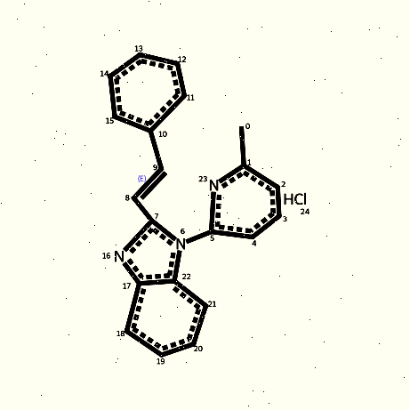 Cc1cccc(-n2c(/C=C/c3ccccc3)nc3ccccc32)n1.Cl